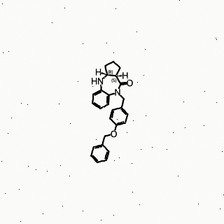 O=C1[C@H]2CCC[C@H]2Nc2ccccc2N1Cc1ccc(OCc2ccccc2)cc1